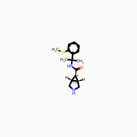 CSc1ccccc1C(C)(C)NC(=O)[C@H]1[C@@H]2CNC[C@@H]21